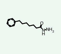 NNC(=O)CCCCCCc1ccccc1